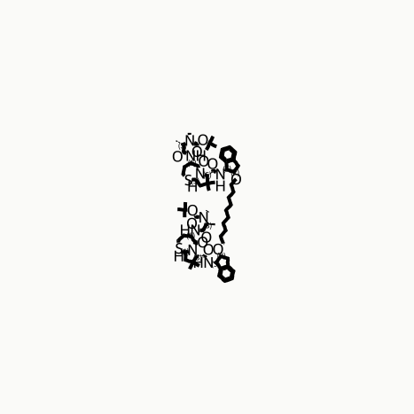 C[C@@H](C(=O)N[C@H]1CCS[C@H]2CC(C)(C)[C@@H](C(=O)N[C@H]3c4ccccc4C[C@H]3OCCCCCCCCCCO[C@@H]3Cc4ccccc4[C@@H]3NC(=O)[C@H]3N4C(=O)[C@@H](NC(=O)[C@H](C)N(C)C(=O)OC(C)(C)C)CCS[C@H]4CC3(C)C)N2C1=O)N(C)C(=O)OC(C)(C)C